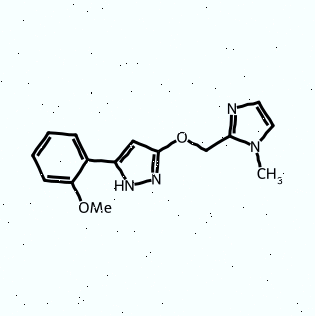 COc1ccccc1-c1cc(OCc2nccn2C)n[nH]1